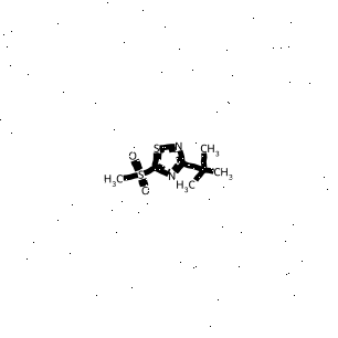 CC(C)(C)c1nsc(S(C)(=O)=O)n1